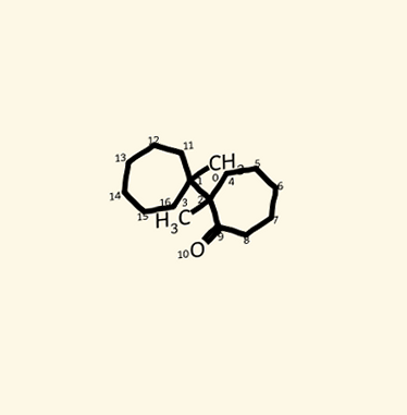 CC1(C2(C)CCCCCC2=O)CCCCCC1